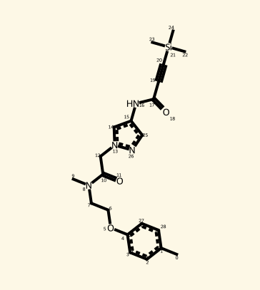 Cc1ccc(OCCN(C)C(=O)Cn2cc(NC(=O)C#C[Si](C)(C)C)cn2)cc1